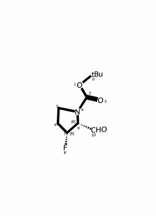 CC(C)(C)OC(=O)N1CC[C@@H](F)[C@H]1C=O